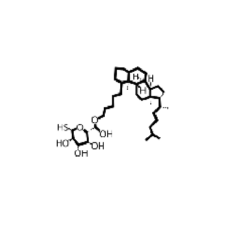 CC(C)CCC[C@@H](C)[C@H]1CC[C@H]2[C@@H]3CCC4CCCC(CCCCCOC(O)[C@H]5O[C@@H](S)[C@H](O)[C@@H](O)[C@H]5O)[C@]4(C)[C@H]3CC[C@]12C